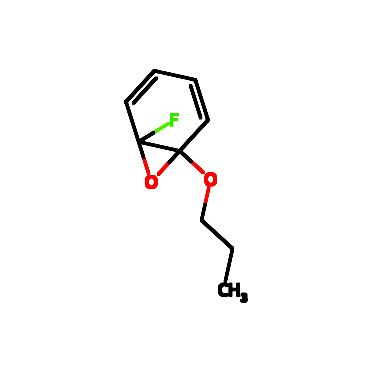 CCCOC12C=CC=CC1(F)O2